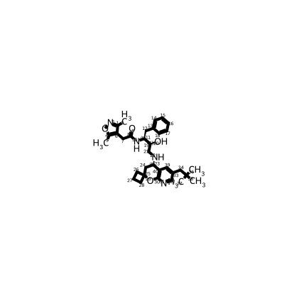 Cc1noc(C)c1CC(=O)N[C@@H](Cc1ccccc1)[C@@H](O)CN[C@H]1CC2(CCC2)Oc2ncc(CC(C)(C)C)cc21